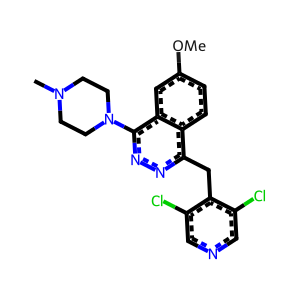 COc1ccc2c(Cc3c(Cl)cncc3Cl)nnc(N3CCN(C)CC3)c2c1